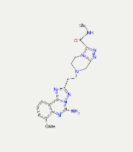 COc1cccc2c1nc(N)n1nc(CCN3CCn4c(nnc4C(=O)NC(C)(C)C)C3)nc21